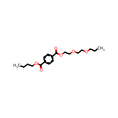 CCCCOC(=O)c1ccc(C(=O)OCCOCCOCCC)cc1